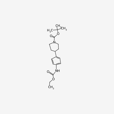 CCOC(=O)Nc1ccc(C2CCN(C(=O)OC(C)(C)C)CC2)cc1